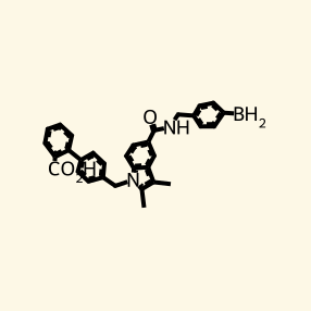 Bc1ccc(CNC(=O)c2ccc3c(c2)c(C)c(C)n3Cc2ccc(-c3ccccc3C(=O)O)cc2)cc1